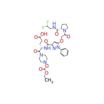 CCOC(=O)ON1CCN(C(=O)[C@H](CCC(=O)O)NC(=O)c2cc(OCC(=O)N3CCC[C@H]3C(=O)NCC(F)F)n(-c3ccccc3)n2)CC1